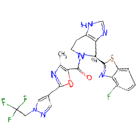 Cc1nc(-c2cnn(CC(F)(F)F)c2)oc1C(=O)N1CCc2[nH]cnc2[C@H]1c1nc2c(F)cccc2s1